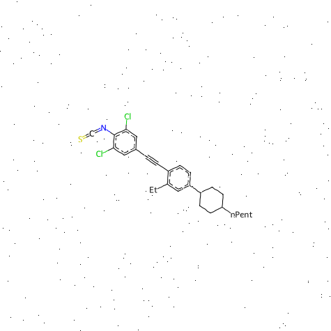 CCCCCC1CCC(c2ccc(C#Cc3cc(Cl)c(N=C=S)c(Cl)c3)c(CC)c2)CC1